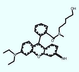 CCN(CC)c1ccc2c(-c3ccccc3C(=O)N(C)CCCCO)c3ccc(=N)cc-3oc2c1